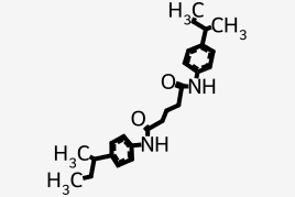 CCC(C)c1ccc(NC(=O)CCCC(=O)Nc2ccc(C(C)CC)cc2)cc1